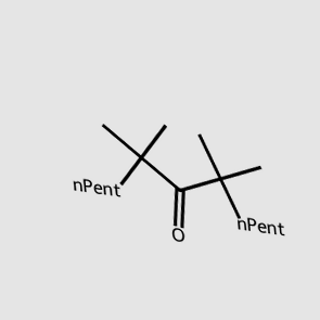 CCCCCC(C)(C)C(=O)C(C)(C)CCCCC